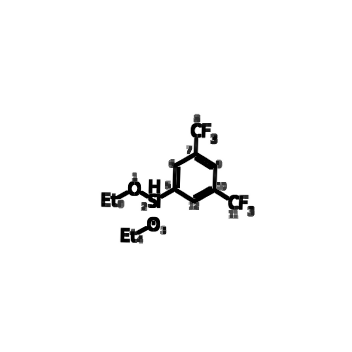 CCO[SiH](OCC)c1cc(C(F)(F)F)cc(C(F)(F)F)c1